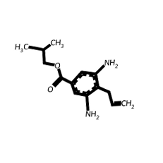 C=CCc1c(N)cc(C(=O)OCC(C)C)cc1N